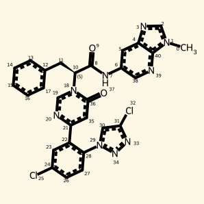 Cn1cnc2cc(NC(=O)[C@H](Cc3ccccc3)n3cnc(-c4cc(Cl)ccc4-n4cc(Cl)nn4)cc3=O)cnc21